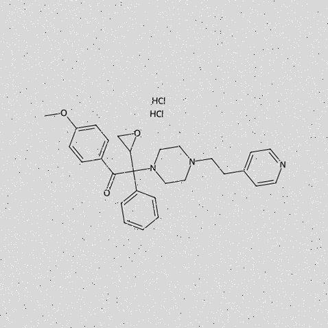 COc1ccc(C(=O)C(c2ccccc2)(C2CO2)N2CCN(CCc3ccncc3)CC2)cc1.Cl.Cl